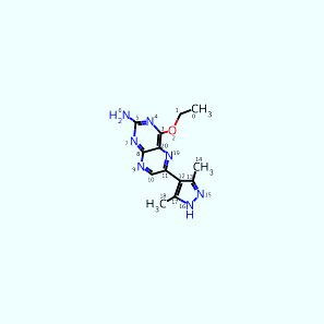 CCOc1nc(N)nc2ncc(-c3c(C)n[nH]c3C)nc12